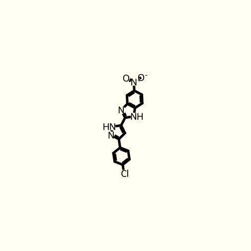 O=[N+]([O-])c1ccc2[nH]c(-c3cc(-c4ccc(Cl)cc4)n[nH]3)nc2c1